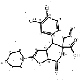 C=CCC1(C(=O)O)NC(=O)C2SC(N3CCOCC3)=CC2C1c1ccc(Cl)c(Cl)c1